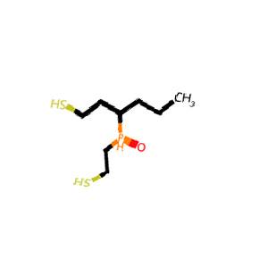 CCCC(CCS)[PH](=O)CCS